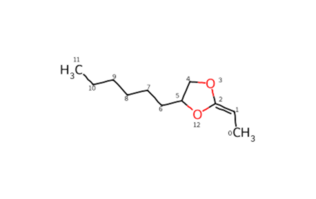 CC=C1OCC(CCCCCC)O1